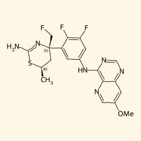 COc1cnc2c(Nc3cc(F)c(F)c([C@]4(CF)C[C@@H](C)SC(N)=N4)c3)ncnc2c1